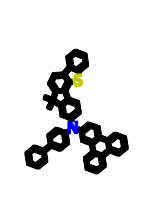 CC1(C)c2cc(N(c3ccc(-c4ccccc4)cc3)c3ccc4c5ccccc5c5ccccc5c4c3)ccc2-c2c1ccc1c2sc2ccccc21